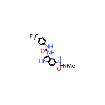 CNC(=O)Nc1ccc2[nH]cc(NC(=O)Nc3ccc(C(F)(F)F)cc3)c2c1